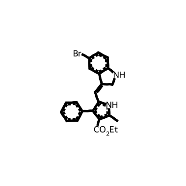 CCOC(=O)c1c(C)[nH]c(C=C2CNc3ccc(Br)cc32)c1-c1ccccc1